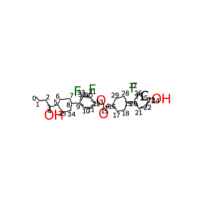 CCCC(O)C1CCC(c2ccc(OC(=O)C3CCC(c4ccc(O)cc4F)CC3)c(F)c2F)CC1